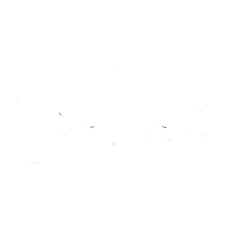 CNCCC(=O)N[C@@H](CCCCN)C(=O)N(C)[C@@H]1C(=O)N[C@@H](C)C(=O)N[C@H](C(=O)N[C@@H](C)C(=O)N2CCC[C@H]2C(N)=O)Cc2ccc(O)c(c2)-c2cc1ccc2O